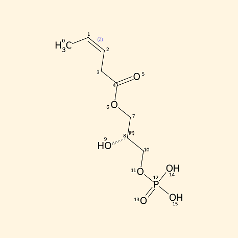 C/C=C\CC(=O)OC[C@@H](O)COP(=O)(O)O